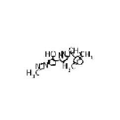 Cc1cn(-c2ccc(-c3ccc(N(C)[C@H]4C[C@]5(C)CC[C@](C)(C4)C5)nn3)c(O)c2)cn1